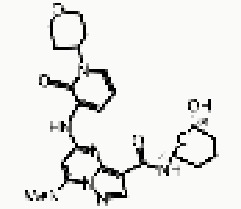 CNc1cc(Nc2cccn(C3CCOCC3)c2=O)nc2c(C(=O)N[C@@H]3CCC[C@@H](O)C3)cnn12